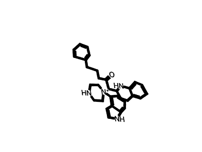 O=C(CCCc1ccccc1)C(C1CCc2ccccc2N1)[N+]1(c2cccc3[nH]ccc23)CCNCC1